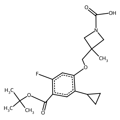 CC1(COc2cc(F)c(C(=O)OC(C)(C)C)cc2C2CC2)CN(C(=O)O)C1